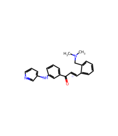 CN(C)Cc1ccccc1/C=C/C(=O)c1cccc(Nc2cccnc2)c1